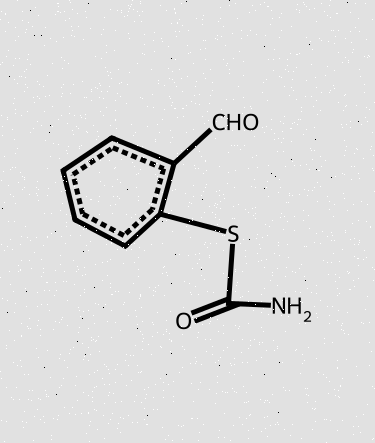 NC(=O)Sc1ccccc1C=O